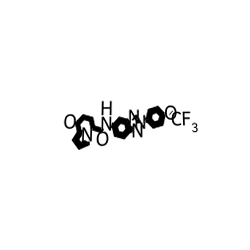 O=C1CCC(C(=O)Nc2ccc3nn(-c4ccc(OC(F)(F)F)cc4)nc3c2)n2cccc21